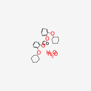 O.O.c1ccc(OC2CCCCC2)c([O][Co][O]c2ccccc2OC2CCCCC2)c1